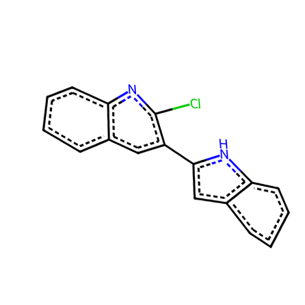 Clc1nc2ccccc2cc1-c1cc2ccccc2[nH]1